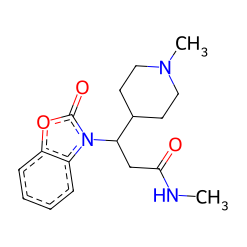 CNC(=O)CC(C1CCN(C)CC1)n1c(=O)oc2ccccc21